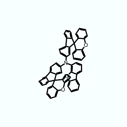 c1ccc2c(c1)Oc1ccccc1C21c2ccccc2-c2ccc(N(c3ccc4c(c3)C3(c5ccccc5Oc5ccccc53)c3ccccc3-4)c3cccc4c3oc3ccccc34)cc21